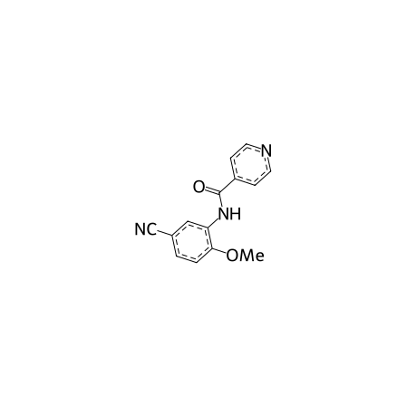 COc1ccc(C#N)cc1NC(=O)c1ccncc1